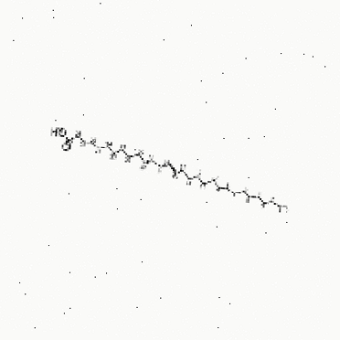 CCCCCCCCCCCCCCCC=CCC=CCCCCCCCCCC(=O)O